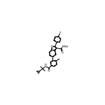 CNC(=O)c1c(-c2ccc(F)cc2)oc2ccc(-c3cc(C(=O)NC(C)(C)C4CC4)ccc3C)cc12